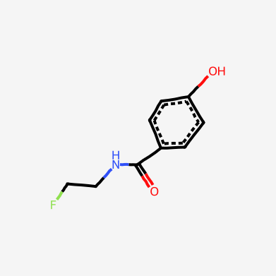 O=C(NCCF)c1ccc(O)cc1